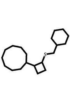 C1CCCCC(C2CCC2SCC2CCCCC2)CCC1